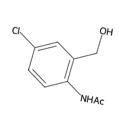 CC(=O)Nc1ccc(Cl)cc1CO